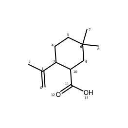 C=C(C)C1CCC(C)(C)CC1C(=O)O